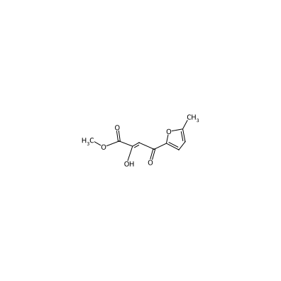 COC(=O)C(O)=CC(=O)c1ccc(C)o1